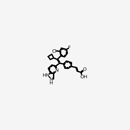 O=C(O)/C=C/c1ccc(/C(=C(\c2ccc(F)cc2Cl)C2CCC2)c2ccc3c(n2)CNN3)cc1